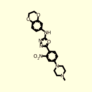 CN1CCN(c2ccc(-c3nnc(Nc4ccc5c(c4)OCCO5)o3)c([N+](=O)[O-])c2)CC1